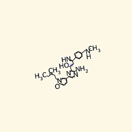 CC[C@H](C)CCn1cc(-c2cnc(N)c(/C(O)=C/C(=N)c3ccc(CNC)cc3)n2)ccc1=O